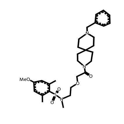 COc1cc(C)c(S(=O)(=O)N(C)CCOCC(=O)N2CCC3(CCN(Cc4ccccc4)CC3)CC2)c(C)c1